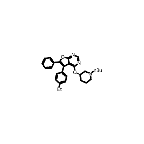 CCCCN1CCC[C@@H](Oc2ncnc3oc(-c4ccccc4)c(-c4ccc(CC)cc4)c23)C1